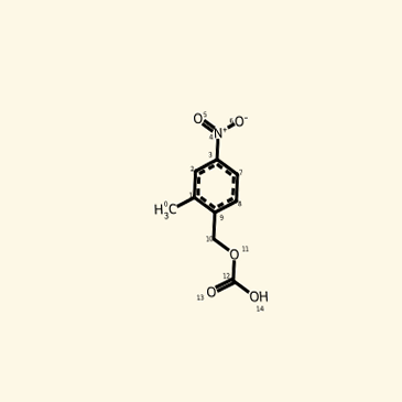 Cc1cc([N+](=O)[O-])ccc1COC(=O)O